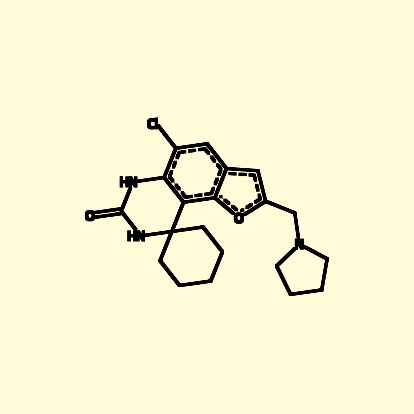 O=C1Nc2c(Cl)cc3cc(CN4CCCC4)oc3c2C2(CCCCC2)N1